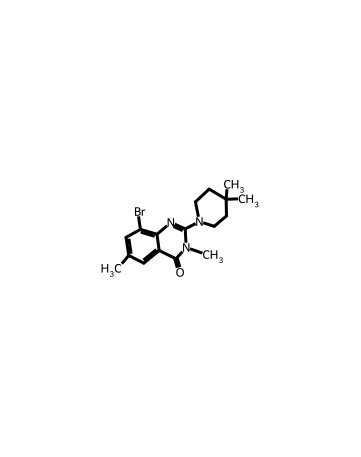 Cc1cc(Br)c2nc(N3CCC(C)(C)CC3)n(C)c(=O)c2c1